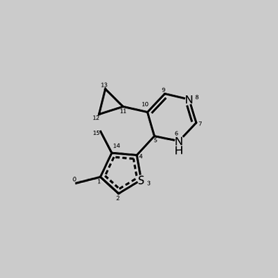 Cc1csc(C2NC=NC=C2C2CC2)c1C